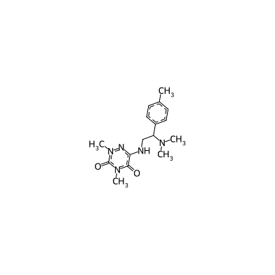 Cc1ccc(C(CNc2nn(C)c(=O)n(C)c2=O)N(C)C)cc1